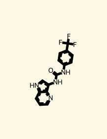 O=C(Nc1ccc(C(F)(F)F)cc1)Nc1c[nH]c2cccnc12